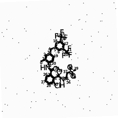 Cc1cc(Cc2cc(C(F)(F)F)cc(C(F)(F)F)c2)ccc1NC(=O)c1cccc(Cl)c1C(=O)N[C@@H](C)CS(C)(=O)=O